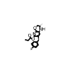 CCC(=O)Oc1nc2c(cc1Cc1ccc(F)cc1)N[C@@H](C)CO2